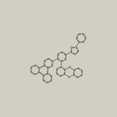 c1ccc(-c2ccc(-c3ccc(-c4ccc5c6ccccc6c6ccccc6c5c4)c(-c4cccc5c4Oc4ccccc4S5)c3)o2)cc1